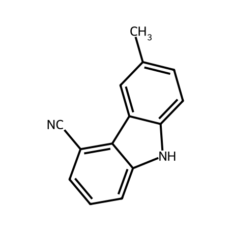 Cc1ccc2[nH]c3cccc(C#N)c3c2c1